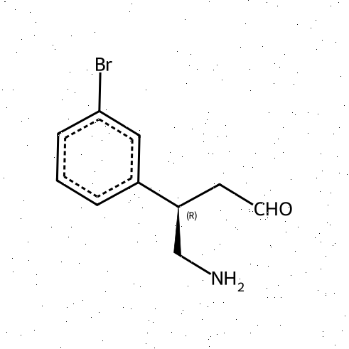 NC[C@H](CC=O)c1cccc(Br)c1